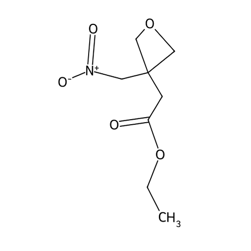 CCOC(=O)CC1(C[N+](=O)[O-])COC1